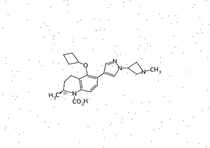 C[C@H]1CCc2c(ccc(-c3cnn(C4CN(C)C4)c3)c2OC2CCC2)N1C(=O)O